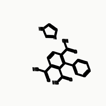 O=C(O)c1ccc(C(=O)O)c(-c2ccccc2)c1C(=O)O.c1c[nH]cn1